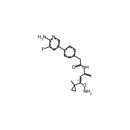 C=C(/C=C(\ON)C1(C)CC1)NC(=O)Cc1ccc(-c2cnc(N)c(F)c2)cc1